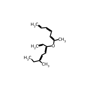 C=C/C=C\C=C(/C)O/C(C=C)=C/C=C(\C)CC